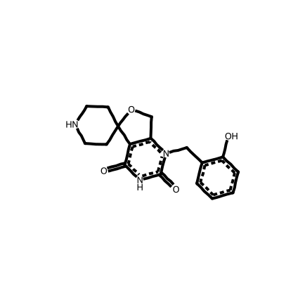 O=c1[nH]c(=O)n(Cc2ccccc2O)c2c1C1(CCNCC1)OC2